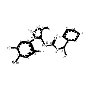 Cc1nnn(-c2cc(F)c(Br)cc2F)c1NC(=O)O[C@H](C)c1ccccc1